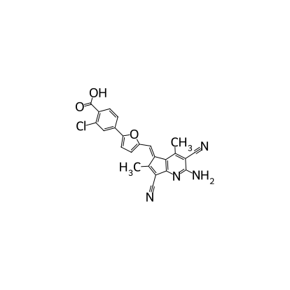 CC1=C(C#N)c2nc(N)c(C#N)c(C)c2/C1=C/c1ccc(-c2ccc(C(=O)O)c(Cl)c2)o1